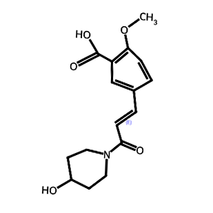 COc1ccc(/C=C/C(=O)N2CCC(O)CC2)cc1C(=O)O